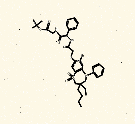 CCCCC1(CC)CN(c2ccccc2)c2cc(Br)c(OCC(=O)N[C@@H](C(=O)NCC(=O)OC(C)(C)C)c3ccccc3)cc2S(=O)(=O)C1